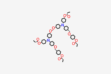 C=CC(=O)Oc1ccc(COc2ccc(N(c3ccc(OCOc4ccc(N(c5ccc(COc6ccc(OC(=O)C=C)cc6)cc5)c5ccc(OC(=O)C=C)cc5)cc4)cc3)c3ccc(OC(=O)C=C)cc3)cc2)cc1